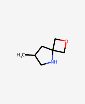 CC1CNC2(COC2)C1